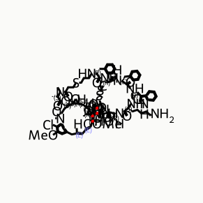 COc1cc2cc(c1Cl)N(C)C(=O)C[C@H](OC(=O)[C@H](C)N(C)C(=O)CCSCCCN[C@H](Cc1ccccc1)C(=O)N[C@H]1CSSC[C@@H](C(=O)N[C@H](CO)[C@@H](C)O)NC(=O)[C@H]([C@@H](C)O)NC(=O)[C@H](CCCCCN)NC(=O)[C@@H](Cc3c[nH]c4ccccc34)NC(=O)[C@H](Cc3ccccc3)NC1=O)[C@]1(C)O[C@H]1[C@H](C)[C@@H]1C[C@@](O)(NC(=O)O1)[C@H](OC)/C=C/C=C(\C)C2